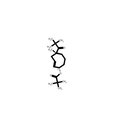 CC(C)(C)C(=O)O[C@@H]1/C=C/C[C@](C)(C(=O)C(C)(C)C)CCC1